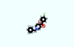 O=C(c1ccc(F)cc1)C1(Br)CCN(Cc2ccccc2)CC1